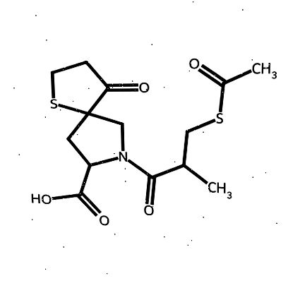 CC(=O)SCC(C)C(=O)N1CC2(CC1C(=O)O)SCCC2=O